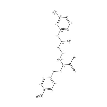 CC(C)C(=O)N(CCc1ccc(C(=O)O)cc1)NCCC(O)Cc1cccc(C(F)(F)F)c1